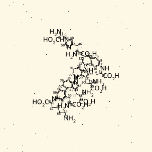 CC(N)C(=O)O.CC(Nc1ccc2ccccc2c1)C(=O)O.NC(Cc1c[nH]c2ccccc12)C(=O)O.NC(Cc1c[nH]c2ccccc12)C(=O)O.NC(Cc1c[nH]cn1)C(=O)O.NC(Cc1ccccc1)C(=O)O.NCCCCC(N)C(=O)O